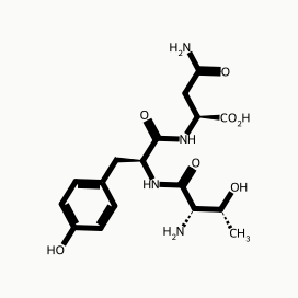 C[C@@H](O)[C@H](N)C(=O)N[C@@H](Cc1ccc(O)cc1)C(=O)N[C@@H](CC(N)=O)C(=O)O